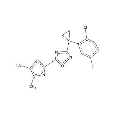 Cn1nc(-c2nc(C3(c4cc(F)ccc4Cl)CC3)no2)cc1C(F)(F)F